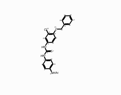 CC(=O)Nc1ccc(NC(=S)Nc2ccc(OCc3ccccc3)c(Cl)c2)cc1